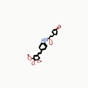 COc1ccc(/C=C/C(=O)Nc2ccc(/C=C/c3cc(OC)c(OC)c(OC)c3)cc2)cc1